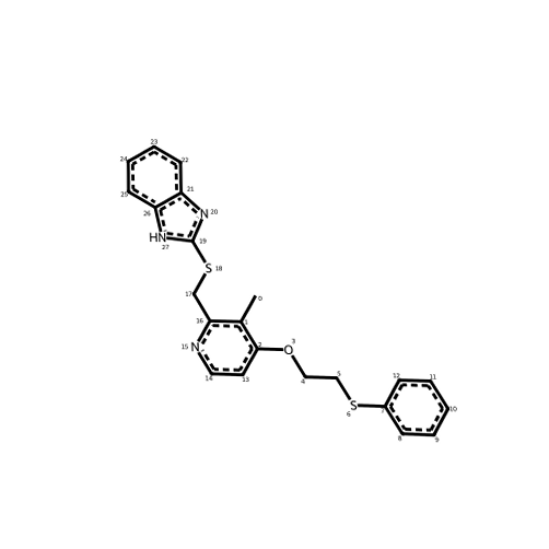 Cc1c(OCCSc2ccccc2)ccnc1CSc1nc2ccccc2[nH]1